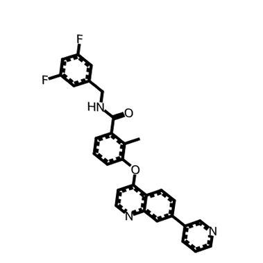 Cc1c(Oc2ccnc3cc(-c4cccnc4)ccc23)cccc1C(=O)NCc1cc(F)cc(F)c1